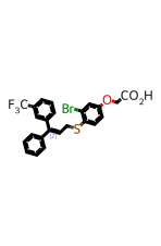 O=C(O)COc1ccc(SC/C=C(/c2ccccc2)c2cccc(C(F)(F)F)c2)c(Br)c1